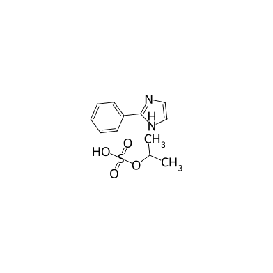 CC(C)OS(=O)(=O)O.c1ccc(-c2ncc[nH]2)cc1